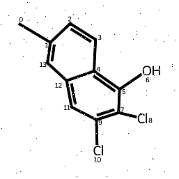 Cc1ccc2c(O)c(Cl)c(Cl)cc2c1